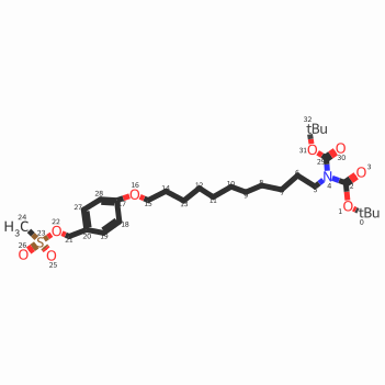 CC(C)(C)OC(=O)N(CCCCCCCCCCCOc1ccc(COS(C)(=O)=O)cc1)C(=O)OC(C)(C)C